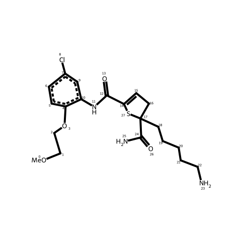 COCCOc1ccc(Cl)cc1NC(=O)C1=CCC(CCCCCN)(C(N)=O)S1